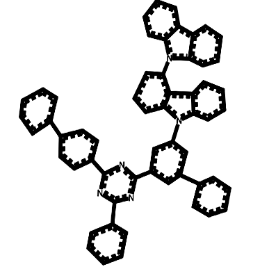 c1ccc(-c2ccc(-c3nc(-c4ccccc4)nc(-c4cc(-c5ccccc5)cc(-n5c6ccccc6c6c(-n7c8ccccc8c8ccccc87)cccc65)c4)n3)cc2)cc1